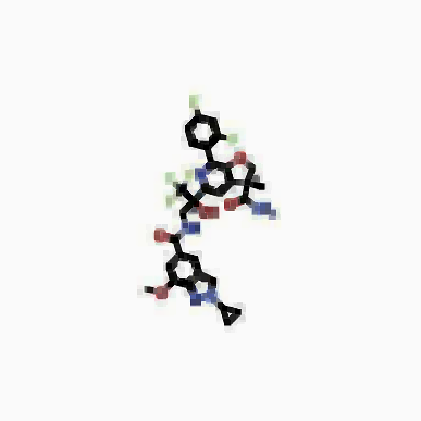 COc1cc(C(=O)NC[C@@](O)(c2cc3c(c(-c4ccc(F)cc4F)n2)OC[C@]3(C)C(N)=O)C(F)(F)F)cc2cn(C3CC3)nc12